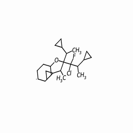 CC(C1CC1)C(F)(Cl)C(OC1CC[CH]CC1)(C(C)C1CC1)C(C)C1CC1